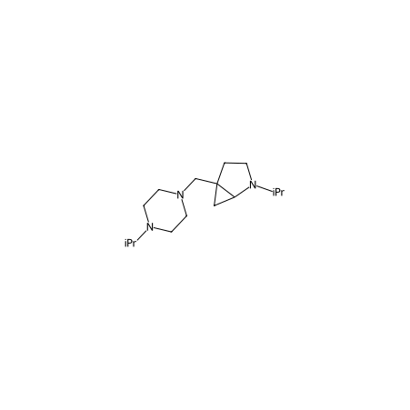 CC(C)N1CCN(CC23CCN(C(C)C)C2C3)CC1